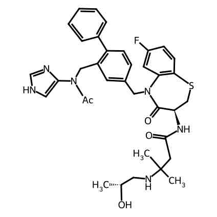 CC(=O)N(Cc1cc(CN2C(=O)[C@H](NC(=O)CC(C)(C)NC[C@@H](C)O)CSc3ccc(F)cc32)ccc1-c1ccccc1)c1c[nH]cn1